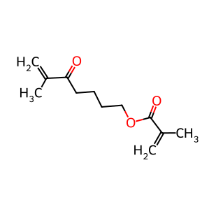 C=C(C)C(=O)CCCCOC(=O)C(=C)C